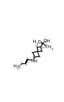 CC/C=C/NC1CC2(C1)CC(C(C)(C)O)C2